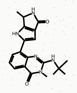 CC1NC(=O)c2cc(-c3cccc4c(=O)n(C)c(NC(C)(C)C)nc34)[nH]c21